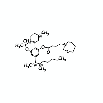 CCCCC[C@@H](C)[C@H](C)c1cc(OC(=O)CCCN2CCCCCC2)c2c(c1)OC(C)(C)C1=C2C[C@@H](C)CC1